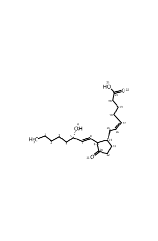 CCCCC[C@H](O)/C=C/C1C(=O)CC[C@@H]1C/C=C\CCCC(=O)O